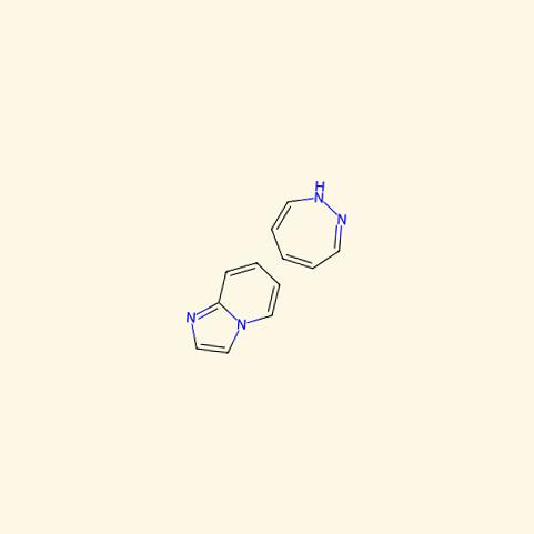 C1=CC=NNC=C1.c1ccn2ccnc2c1